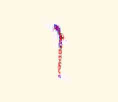 NCCOCCOCCOCCOCCOCCOCCOCCOCCOCCC(=O)NCCNC(=O)CC[C@H](NC(=O)c1ccc(NCc2cnc3nc(N)[nH]c(=O)c3n2)cc1)C(=O)O